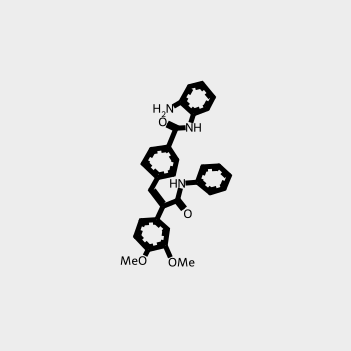 COc1ccc(/C(=C/c2ccc(C(=O)Nc3ccccc3N)cc2)C(=O)Nc2ccccc2)cc1OC